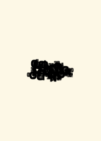 COc1cc(OC)c(Cl)c(-c2cc3cnc(SC)nc3n(CC3CCN(C(=O)OC(C)(C)C)C3)c2=O)c1Cl